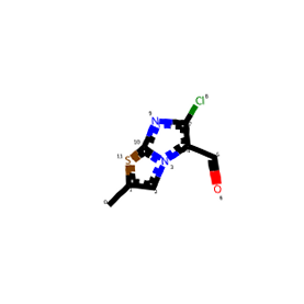 Cc1cn2c(C=O)c(Cl)nc2s1